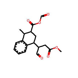 COC(=O)CC(C=O)C1CC(C(=O)OC=O)C(C)c2ccccc21